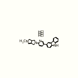 CN1C=C2CN(c3ccc(-c4ccc5[nH]c6ccccc6c5c4)cn3)CC2C1.Cl.Cl.Cl